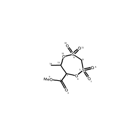 COC(=O)C1OS(=O)(=O)CS(=O)(=O)OC1C